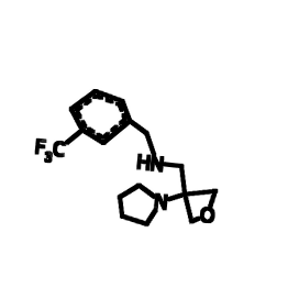 FC(F)(F)c1cccc(CNCC2(N3CCCC3)COC2)c1